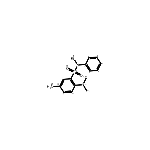 CCN(c1ccccc1)S(=O)(=O)c1cc(N)ccc1N(C)C